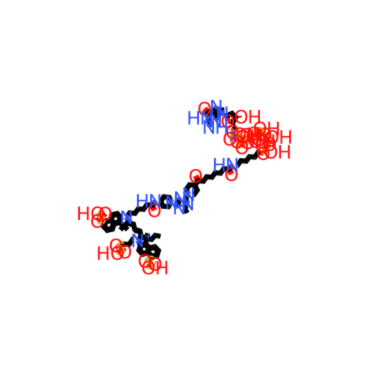 CCCC1(C)C(/C=C/C=C2/N(CCCCCC(=O)NC3CCN(c4nc(C)nc(N5CCC(C(=O)CCCCCCC(=O)NCCCCCCOP(=O)(O)OP(=O)(O)OP(=O)(O)OP(=O)(O)OP(=O)(O)OP(=O)(O)OC[C@H]6O[C@@H](n7cnc8c(=O)[nH]c(N)nc87)C[C@H]6O)CC5)n4)CC3)c3ccc4c(S(=O)(=O)O)cccc4c3C2(C)C)=[N+](CCCS(=O)(=O)O)c2ccc3c(S(=O)(=O)O)cccc3c21